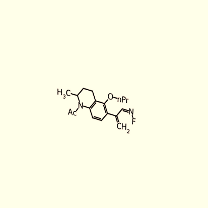 C=C(/C=N\F)c1ccc2c(c1OCCC)CCC(C)N2C(C)=O